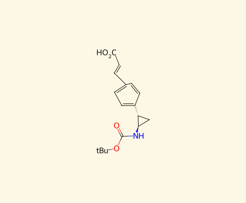 CC(C)(C)OC(=O)N[C@@H]1C[C@H]1c1ccc(/C=C/C(=O)O)cc1